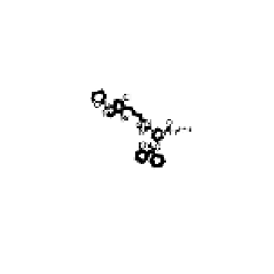 CC(C)(C)OC(=O)N1C[C@@H](O[Si](c2ccccc2)(c2ccccc2)C(C)(C)C)C[C@@H](c2noc(CCCc3c(Cl)cc4c(cnn4[C@H]4CCCCO4)c3Br)n2)C1